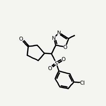 Cc1nnc(C(C2CCC(=O)C2)S(=O)(=O)c2cccc(Cl)c2)o1